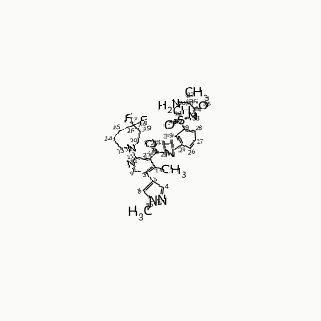 Cc1c(-c2cnn(C)c2)cnc(N2CCCC(F)(F)CC2)c1C(=O)Nc1cccc([S@@](C)(=O)=NC(=O)[C@@H](C)N)c1